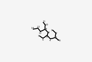 [CH2]C(CC)CC(CC)CC(CC)CCC